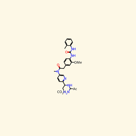 COc1cc(CC(=O)N(C)c2ccc(C(CC(=O)O)NC(N)C(C)=O)nc2)ccc1NC(=O)Nc1ccccc1C